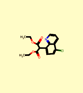 CCOC(=O)C(C(=O)OCC)c1ccc(Cl)c2cccnc12